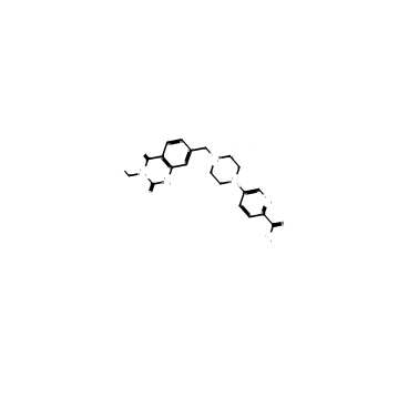 CCn1c(=O)[nH]c2cc(CN3CCN(c4ccc(C(=O)NC)nc4)C[C@H]3C)ccc2c1=O